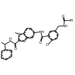 CC(C)C(=O)NCc1ccc(Cl)c(C(=O)Nc2ccc3c(c2)cc(C(=O)NC(C)c2ccccc2)n3C)c1